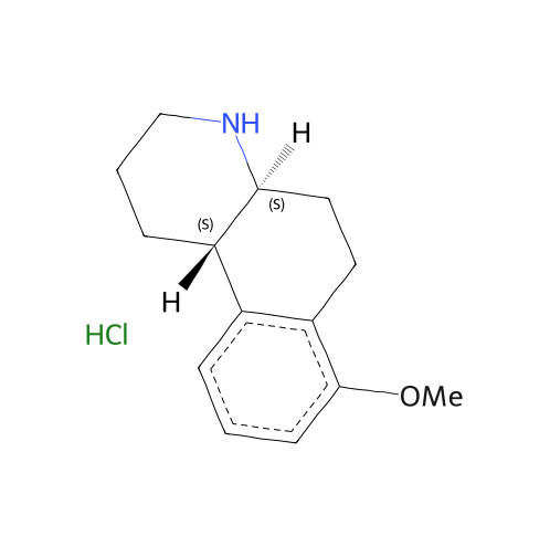 COc1cccc2c1CC[C@@H]1NCCC[C@@H]21.Cl